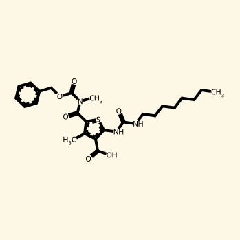 CCCCCCCCNC(=O)Nc1sc(C(=O)N(C)C(=O)OCc2ccccc2)c(C)c1C(=O)O